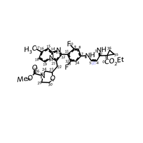 CCOC(=O)C1(C(=N)/C=C\Nc2cc(F)c(-c3nc4cc(C)ccn4c3CC3CN(C(=O)OC)CCO3)c(F)c2)CC1